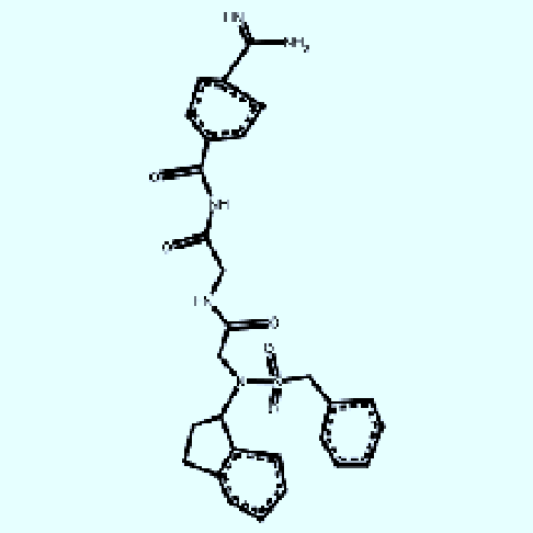 N=C(N)c1ccc(C(=O)NC(=O)CNC(=O)CN(C2CCc3ccccc32)S(=O)(=O)Cc2ccccc2)cc1